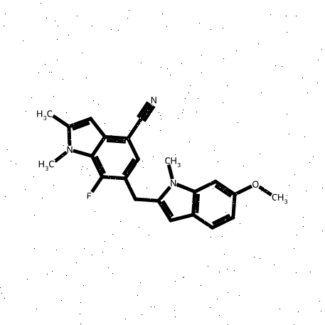 COc1ccc2cc(Cc3cc(C#N)c4cc(C)n(C)c4c3F)n(C)c2c1